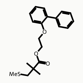 CSCC(C)(C)C(=O)OCCOc1ccccc1-c1ccccc1